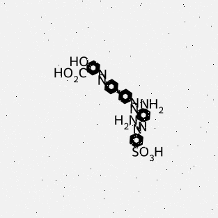 Nc1ccc(N=Nc2ccc(S(=O)(=O)O)cc2)c(N)c1N=Nc1ccc(-c2ccc(N=Nc3ccc(O)c(C(=O)O)c3)cc2)cc1